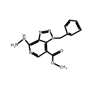 COC(=O)c1cnc(NN)c2nnn(Cc3ccccc3)c12